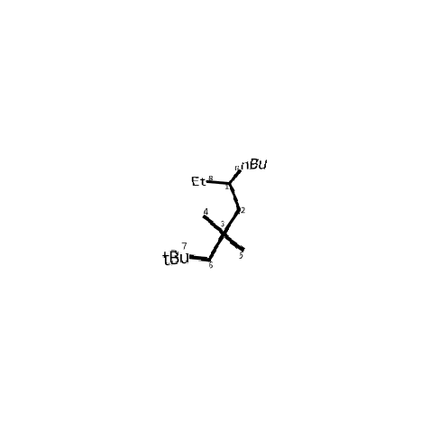 CCCCC([CH]C(C)(C)CC(C)(C)C)CC